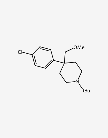 COCC1(c2ccc(Cl)cc2)CCN(C(C)(C)C)CC1